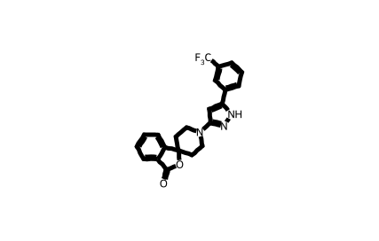 O=C1OC2(CCN(c3cc(-c4cccc(C(F)(F)F)c4)[nH]n3)CC2)c2ccccc21